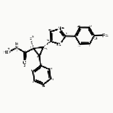 O=C(NO)[C@]1(F)C(c2ccccc2)[C@H]1c1cnc(-c2ccc(F)cc2)s1